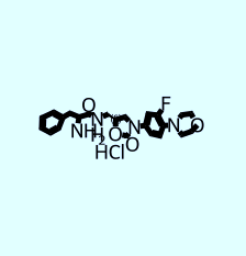 Cl.NC(Cc1ccccc1)C(=O)NC[C@H]1CN(c2ccc(N3CCOCC3)c(F)c2)C(=O)O1